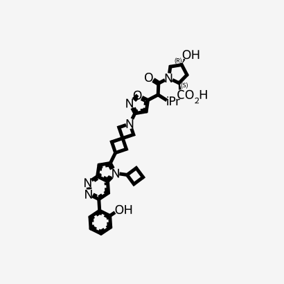 CC(C)C(C(=O)N1C[C@H](O)C[C@H]1C(=O)O)c1cc(N2CC3(CC(c4cc5nnc(-c6ccccc6O)cc5n4C4CCC4)C3)C2)no1